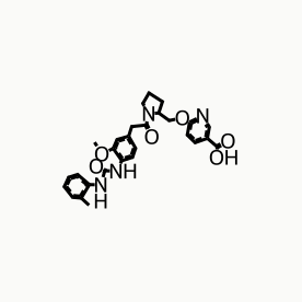 COc1cc(CC(=O)N2CCCC2COc2ccc(C(=O)O)cn2)ccc1NC(=O)Nc1ccccc1C